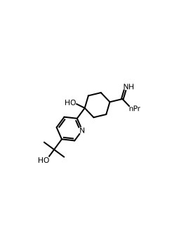 C[CH]CC(=N)C1CCC(O)(c2ccc(C(C)(C)O)cn2)CC1